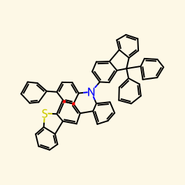 c1ccc(-c2ccc(N(c3ccc4c(c3)C(c3ccccc3)(c3ccccc3)c3ccccc3-4)c3ccccc3-c3ccc4sc5ccccc5c4c3)cc2)cc1